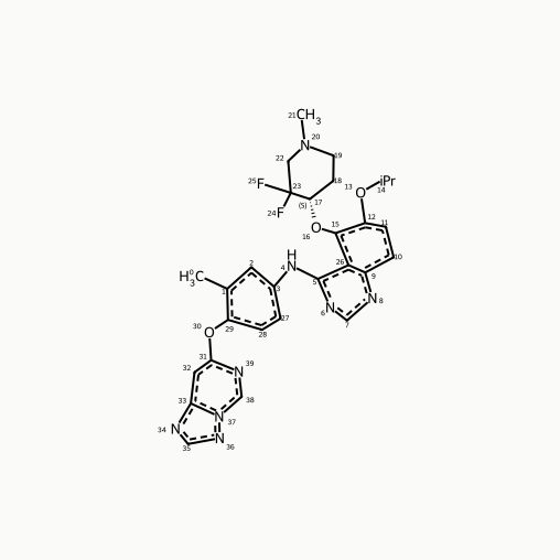 Cc1cc(Nc2ncnc3ccc(OC(C)C)c(O[C@H]4CCN(C)CC4(F)F)c23)ccc1Oc1cc2ncnn2cn1